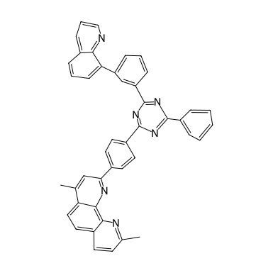 Cc1ccc2ccc3c(C)cc(-c4ccc(-c5nc(-c6ccccc6)nc(-c6cccc(-c7cccc8cccnc78)c6)n5)cc4)nc3c2n1